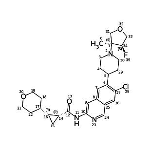 C[C@]1(N2CCC(c3cc4cc(NC(=O)[C@@H]5C[C@@H]5C5CCOCC5)ncc4cc3Cl)CC2)COC[C@H]1F